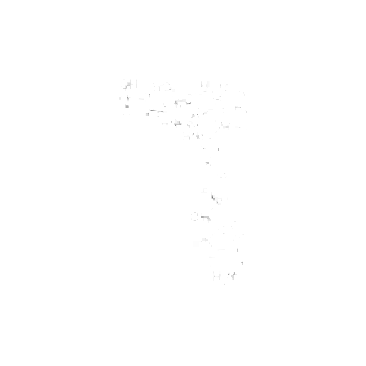 CC(C)(C)OC(=O)[C@H](CCCCNC(=O)C1CCC(CN)CC1)NC(=O)N[C@@H](CCC(=O)O)C(=O)O